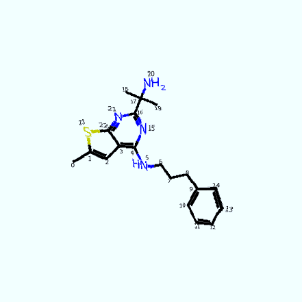 Cc1cc2c(NCCCc3ccccc3)nc(C(C)(C)N)nc2s1